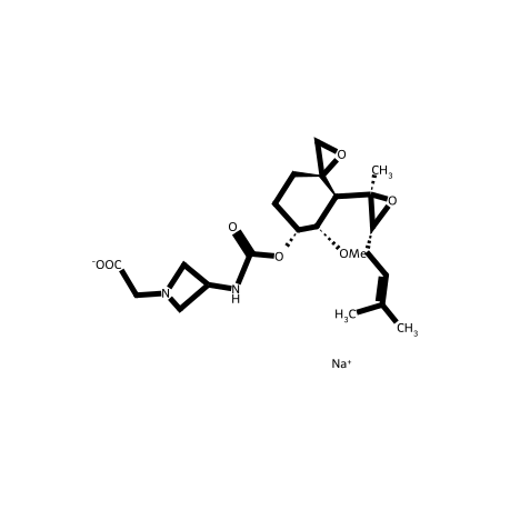 CO[C@@H]1[C@H](OC(=O)NC2CN(CC(=O)[O-])C2)CC[C@]2(CO2)[C@H]1[C@@]1(C)O[C@@H]1CC=C(C)C.[Na+]